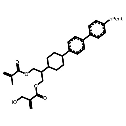 C=C(C)C(=O)OCC(COC(=O)C(=C)CO)C1CCC(c2ccc(-c3ccc(CCCCC)cc3)cc2)CC1